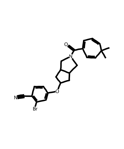 CC1(C)C=CC=C(C(=O)N2CC3CC(Oc4ccc(C#N)c(Br)c4)CC3C2)C=C1